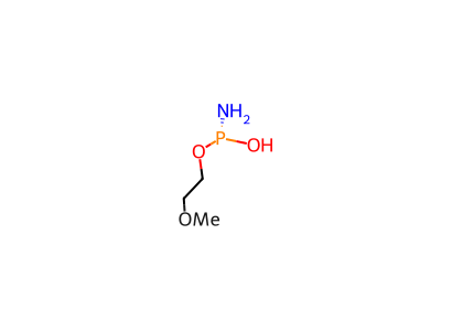 COCCO[P@](N)O